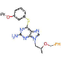 CCCOc1cccc(Sc2nc(N)nc3c2ncn3CC(C)OCP)c1